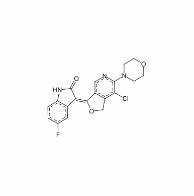 O=C1Nc2ccc(F)cc2C1=C1OCc2c1cnc(N1CCOCC1)c2Cl